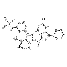 CC(c1nn(-c2cccnc2)c2cc(Cl)ccc12)n1nc(-c2cccc(OC(F)(F)F)c2)c2c(N)ncnc21